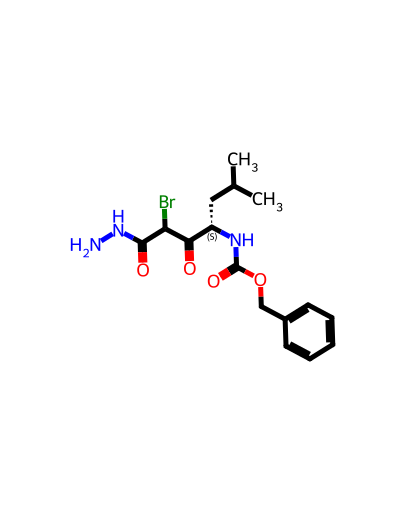 CC(C)C[C@H](NC(=O)OCc1ccccc1)C(=O)C(Br)C(=O)NN